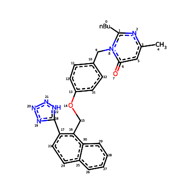 CCCCc1nc(C)cc(=O)n1Cc1ccc(OCc2c(-c3nnn[nH]3)ccc3ccccc23)cc1